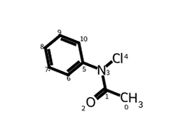 CC(=O)N(Cl)c1c[c]ccc1